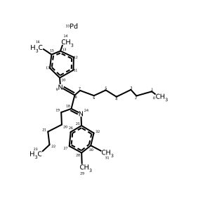 CCCCCCCCC(=N\c1ccc(C)c(C)c1)/C(CCCCC)=N/c1ccc(C)c(C)c1.[Pd]